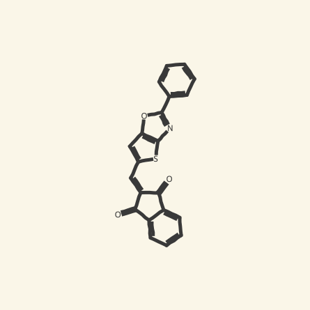 O=C1C(=Cc2cc3oc(-c4ccccc4)nc3s2)C(=O)c2ccccc21